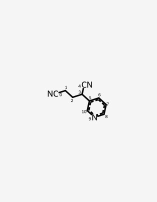 N#CCCC(C#N)c1cccnc1